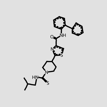 CC(C)CNC(=S)N1CCC(c2nc(C(=O)Nc3ccccc3-c3ccccc3)cs2)CC1